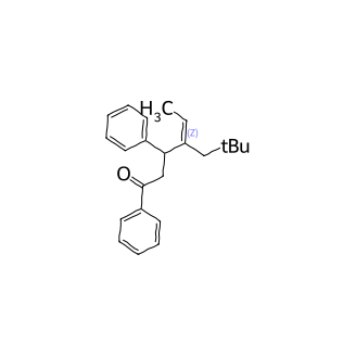 C/C=C(/CC(C)(C)C)C(CC(=O)c1ccccc1)c1ccccc1